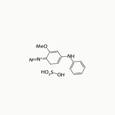 COC1=CC(Nc2ccccc2)=CCC1=[N+]=[N-].O=S(=O)(O)O